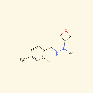 CC(=O)N(NCc1ccc(C(F)(F)F)cc1F)C1COC1